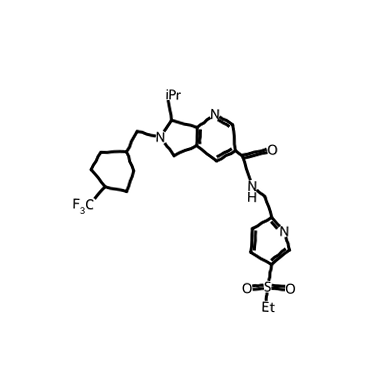 CCS(=O)(=O)c1ccc(CNC(=O)c2cnc3c(c2)CN(CC2CCC(C(F)(F)F)CC2)C3C(C)C)nc1